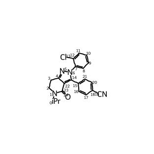 CC(C)N1CCc2nn(-c3ccccc3Cl)c(-c3ccc(C#N)cc3)c2C1=O